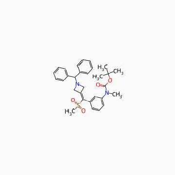 CN(C(=O)OC(C)(C)C)c1cccc(C(=C2CN(C(c3ccccc3)c3ccccc3)C2)S(C)(=O)=O)c1